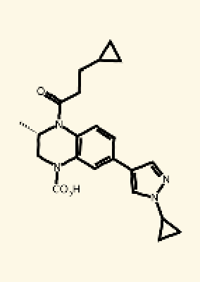 C[C@H]1CN(C(=O)O)c2cc(-c3cnn(C4CC4)c3)ccc2N1C(=O)CCC1CC1